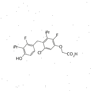 CC(C)c1c(O)ccc(Cc2c(Cl)cc(OCC(=O)O)c(F)c2C(C)C)c1F